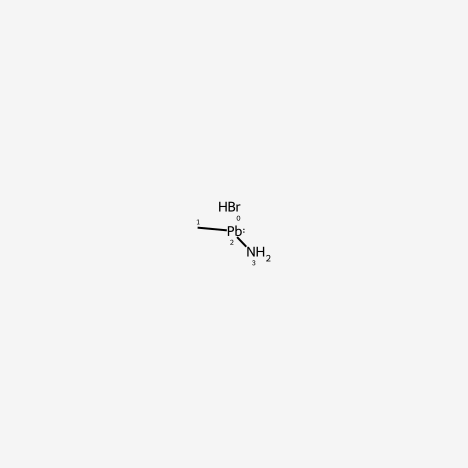 Br.[CH3][Pb][NH2]